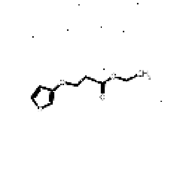 CCOC(=O)CCOc1ccsc1